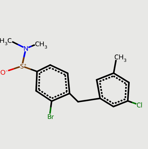 Cc1cc(Cl)cc(Cc2ccc([S+]([O-])N(C)C)cc2Br)c1